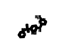 Cl.Nc1nccc(Nc2ccc(S(=O)(=O)Nc3ccccn3)cc2)n1